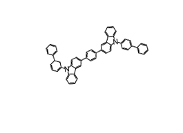 C1=CC(c2ccccc2)CC(n2c3ccccc3c3cc(-c4ccc(-c5ccc6c(c5)c5ccccc5n6-c5ccc(-c6ccccc6)cc5)cc4)ccc32)=C1